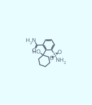 NC(=O)c1cccc(S(N)(=O)=O)c1C1(O)CCCCC1